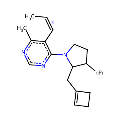 C/C=C\c1c(C)ncnc1N1CCC(CCC)C1CC1=CCC1